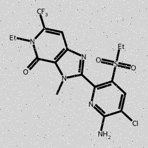 CCn1c(C(F)(F)F)cc2nc(-c3nc(N)c(Cl)cc3S(=O)(=O)CC)n(C)c2c1=O